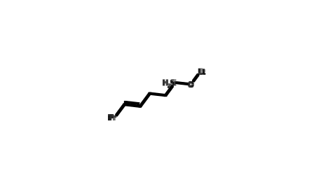 CCO[SiH2]CCC=CC(C)C